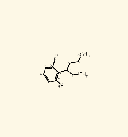 CCCC(CC)c1c(F)cccc1F